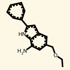 CCOCc1cc(N)c2[nH]c(-c3ccccc3)cc2c1